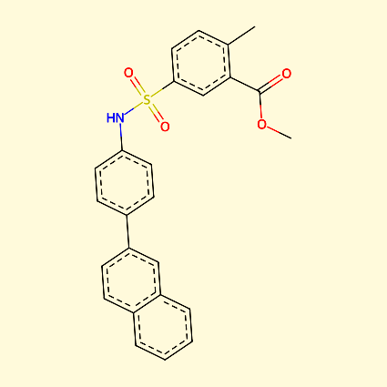 COC(=O)c1cc(S(=O)(=O)Nc2ccc(-c3ccc4ccccc4c3)cc2)ccc1C